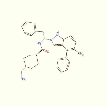 CC1=C(c2ccccc2)C2=CN([C@@H](Cc3ccccc3)NC(=O)[C@H]3CC[C@H](CN)CC3)NC2C=C1